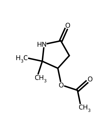 CC(=O)OC1CC(=O)NC1(C)C